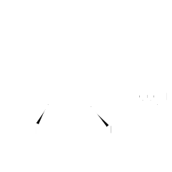 O=C(O)C[C@]1(I)C[C@@H]2CCCCCC21